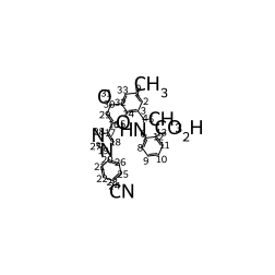 Cc1cc(C(C)Nc2ccccc2C(=O)O)c2oc(-c3cn(-c4ccc(C#N)cc4)cn3)cc(=O)c2c1